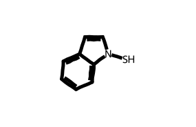 Sn1ccc2ccccc21